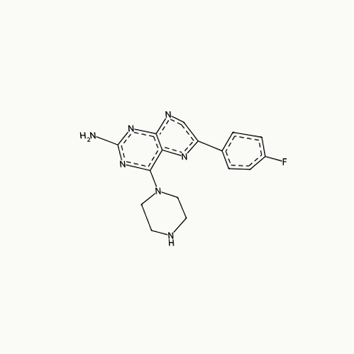 Nc1nc(N2CCNCC2)c2nc(-c3ccc(F)cc3)cnc2n1